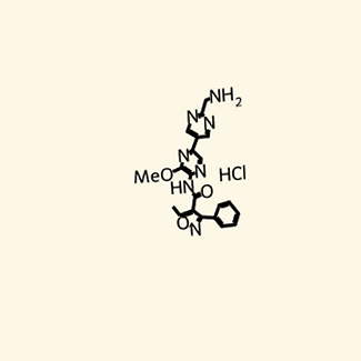 COc1nc(-c2cnc(CN)nc2)cnc1NC(=O)c1c(-c2ccccc2)noc1C.Cl